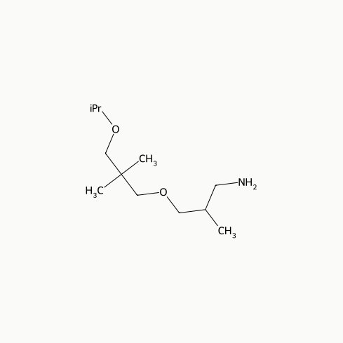 CC(CN)COCC(C)(C)COC(C)C